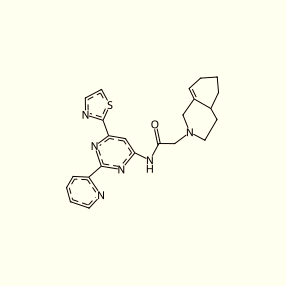 O=C(CN1CCC2CCCC=C2C1)Nc1cc(-c2nccs2)nc(-c2ccccn2)n1